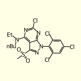 CCCCN(CC)c1nc(Cl)nc2c1c(S(C)(=O)=O)nn2-c1c(Cl)cc(Cl)cc1Cl